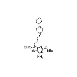 CCCCOc1nc(N)c2c(n1)N(CCCCN1CCN(C3CCCCC3)CC1)C(C=O)N2